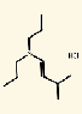 CCCN(C=CC(C)C)CCC.Cl